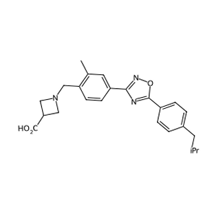 Cc1cc(-c2noc(-c3ccc(CC(C)C)cc3)n2)ccc1CN1CC(C(=O)O)C1